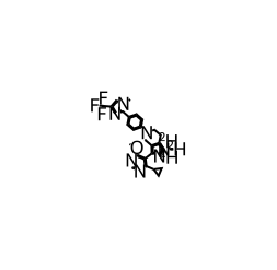 [2H]C([2H])([2H])n1nc(-c2c(OC)ncnc2C2CC2)c2c1CCN(c1ccc(-c3nc(C(F)(F)F)cn3C)cc1)C2